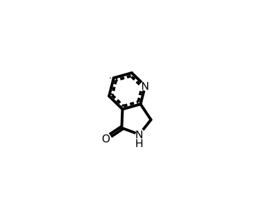 O=C1NCc2nc[c]cc21